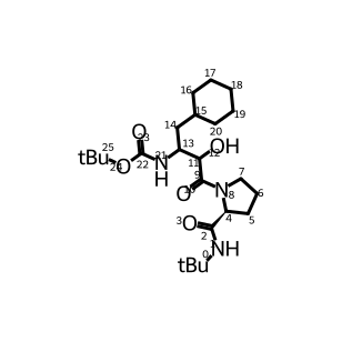 CC(C)(C)NC(=O)[C@@H]1CCCN1C(=O)C(O)C(CC1CCCCC1)NC(=O)OC(C)(C)C